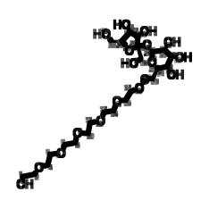 OCCOCCOCCOCCOCCOCCOOC[C@H]1O[C@H](O[C@]2(CO)O[C@H](CO)[C@@H](O)[C@@H]2O)[C@H](O)[C@@H](O)[C@@H]1O